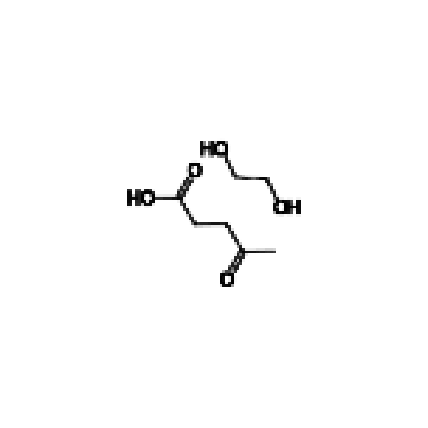 CC(=O)CCC(=O)O.OCCO